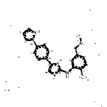 CCOCc1ccc(C)c(Nc2ncc(-c3ccc(-n4cccn4)cc3)s2)c1